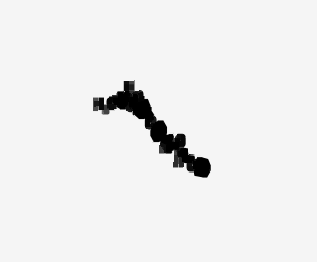 CN1CC(NS(=O)(=O)c2ccc(COc3ccc(-c4cn(C(=O)NCCCOc5ccccc5)cn4)cc3)cc2)C1